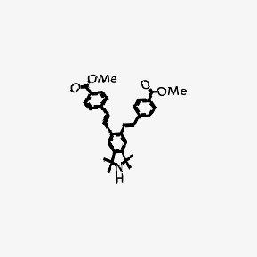 COC(=O)c1ccc(C=Cc2cc3c(cc2C=Cc2ccc(C(=O)OC)cc2)C(C)(C)NC3(C)C)cc1